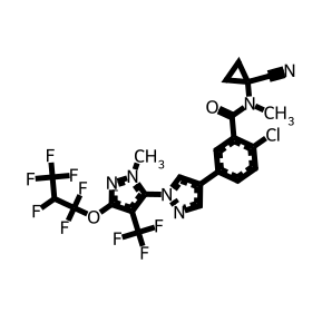 CN(C(=O)c1cc(-c2cnn(-c3c(C(F)(F)F)c(OC(F)(F)C(F)C(F)(F)F)nn3C)c2)ccc1Cl)C1(C#N)CC1